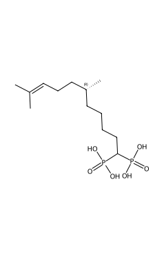 CC(C)=CCC[C@H](C)CCCCC(P(=O)(O)O)P(=O)(O)O